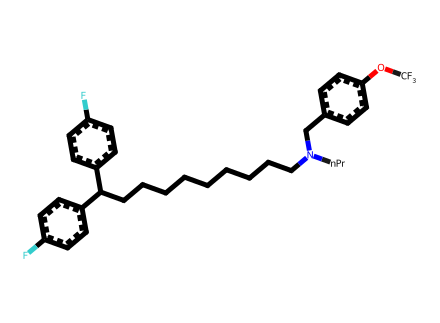 CCCN(CCCCCCCCCC(c1ccc(F)cc1)c1ccc(F)cc1)Cc1ccc(OC(F)(F)F)cc1